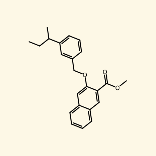 CCC(C)c1cccc(COc2cc3ccccc3cc2C(=O)OC)c1